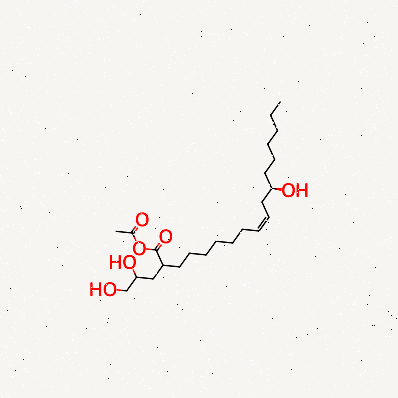 CCCCCC[C@@H](O)C/C=C\CCCCCCC(CC(O)CO)C(=O)OC(C)=O